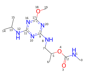 CNC(=O)OC(C)CNc1nc(NC(C)C)nc(OC)n1